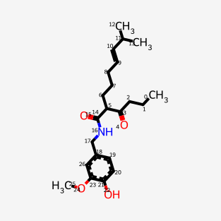 CCCC(=O)C(CCC/C=C/C(C)C)C(=O)NCc1ccc(O)c(OC)c1